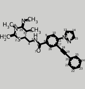 C=C(SCCNC(=O)c1ccc(-n2cccn2)c(C#Cc2ccccc2)c1)N(C)/C(CC)=N/C